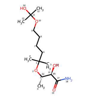 C[C@H](OC(C)(C)CCCCOC(C)(C)O)[C@@H](O)C(N)=O